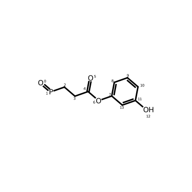 O=PCCC(=O)Oc1cccc(O)c1